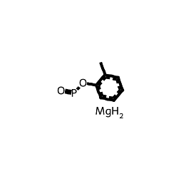 Cc1ccccc1OP=O.[MgH2]